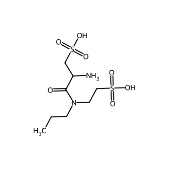 CCCN(CCS(=O)(=O)O)C(=O)C(N)CS(=O)(=O)O